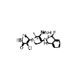 C[C@H]1C(N=N)=C(NCc2ccccc2C(F)F)CCN1c1cn[nH]c(=O)c1Cl